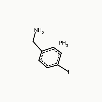 NCc1ccc(I)cc1.P